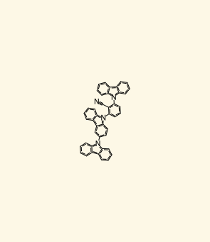 N#Cc1c(-n2c3ccccc3c3ccccc32)cccc1-n1c2ccccc2c2cc(-n3c4ccccc4c4ccccc43)ccc21